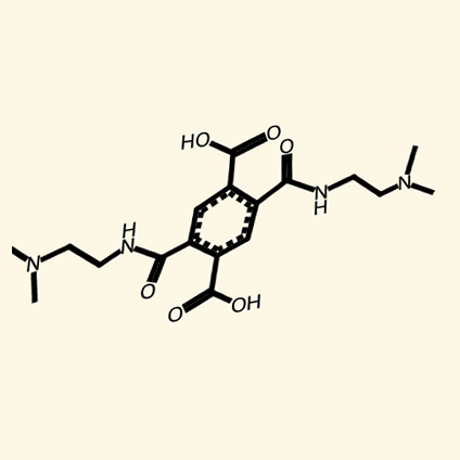 CN(C)CCNC(=O)c1cc(C(=O)O)c(C(=O)NCCN(C)C)cc1C(=O)O